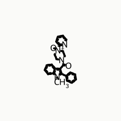 Cn1c(-c2ccccc2)c(C(=O)N2CC[N+]([O-])(c3ccccn3)CC2)c2ccccc21